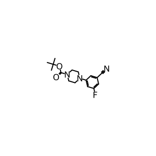 CC(C)(C)OC(=O)N1CCN(c2cc(F)cc(C#N)c2)CC1